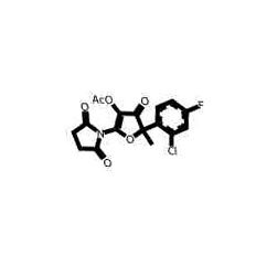 CC(=O)OC1=C(N2C(=O)CCC2=O)OC(C)(c2ccc(F)cc2Cl)C1=O